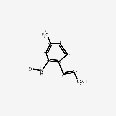 CCNc1cc(C(F)(F)F)ccc1C=CC(=O)O